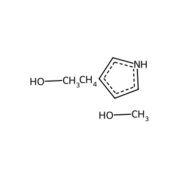 C.CO.CO.c1cc[nH]c1